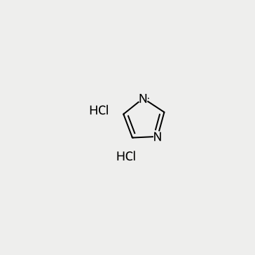 C1=CN=C[N]1.Cl.Cl